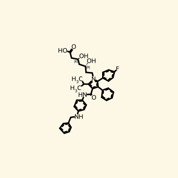 CC(C)c1c(C(=O)Nc2ccc(NCc3ccccc3)cc2)c(-c2ccccc2)c(-c2ccc(F)cc2)n1CC[C@@H](O)C[C@@H](O)CC(=O)O